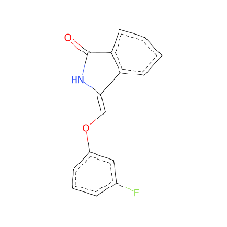 O=C1N/C(=C\Oc2cccc(F)c2)c2ccccc21